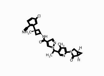 Cc1cc(N2C[C@H]3C[C@H]3C2=O)ncc1C(C)n1cc(C(=O)N[C@H]2C[C@@](C)(c3cc(Cl)ccc3C#N)C2)cn1